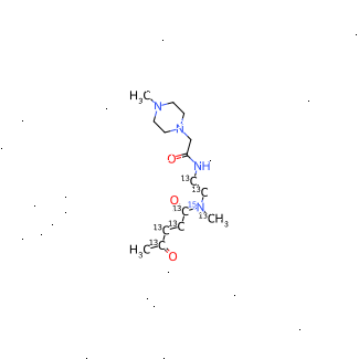 C[13C](=O)[13CH2][13CH2][13C](=O)[15N]([13CH3])[13CH2][13CH2]NC(=O)CN1CCN(C)CC1